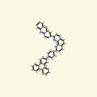 c1ccc2nc3ccc(-c4ccc5ccc6ccc(-c7ccc(-c8ccc9c%10ccccc%10c%10ccccc%10c9c8)cc7)nc6c5n4)cc3cc2c1